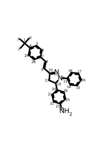 CC(C)(C)c1ccc(C=CC2=NN(c3ccccc3)C(c3ccc(N)cc3)C2)cc1